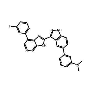 CN(C)c1cncc(-c2ccc3[nH]nc(-c4nc5c(-c6cccc(F)c6)cncc5[nH]4)c3c2)c1